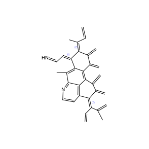 C=C/C(C)=c1\c(=C)c(=C)c2c(c(C)c3nccc4/c(=C(\C=C)C(=C)C)c(=C)c(=C)c2c34)\c1=C/C=N